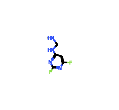 [NH]CNc1cc(F)nc(F)n1